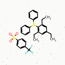 CCc1cc(CC)c([S+](c2ccccc2)c2ccccc2)c(CC)c1.O=S(=O)([O-])c1ccc(C(F)(F)F)cc1